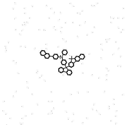 CC1(C)c2cc(C3(c4ccc(N(c5ccccc5)c5ccc(-c6ccc7ccccc7c6)cc5)cc4)c4ccccc4-c4ccccc43)ccc2-c2cc3ccccc3cc21